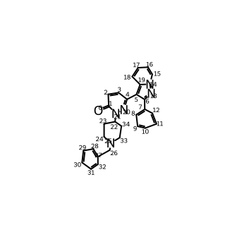 O=c1ccc(-c2c(-c3ccccc3)nn3ccccc23)nn1C1CCN(Cc2ccccc2)CC1